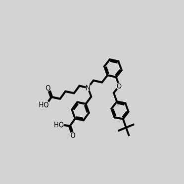 CC(C)(C)c1ccc(COc2ccccc2CCN(CCCCC(=O)O)Cc2ccc(C(=O)O)cc2)cc1